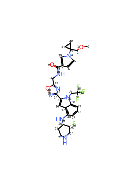 COCC1(n2ccc(C(=O)NCc3nc(-c4cc5c(N[C@H]6CCNC[C@H]6F)cccc5n4CC(F)(F)F)no3)c2)CC1